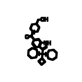 O=C(c1ccc2c(C(C3CCC3)(N3CCCCCC3)N3CCCCCC3)c[nH]c2c1)N1CCC(CO)CC1